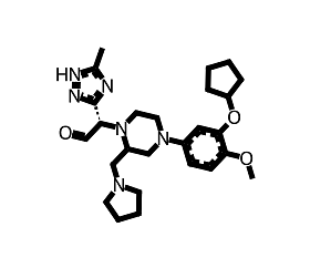 COc1ccc(N2CCN([C@H](C=O)c3n[nH]c(C)n3)C(CN3CCCC3)C2)cc1OC1CCCC1